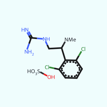 CNC(CNC(=N)N)c1c(Cl)cccc1Cl.O=S(=O)(O)O